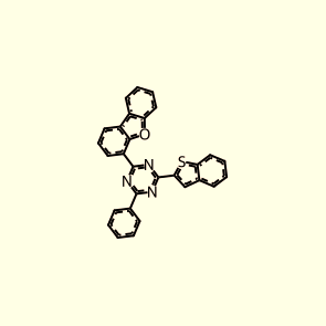 c1ccc(-c2nc(-c3cc4ccccc4s3)nc(-c3cccc4c3oc3ccccc34)n2)cc1